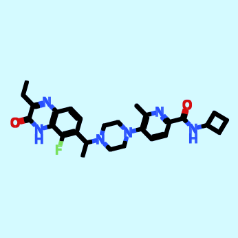 CCc1nc2ccc(C(C)N3CCN(c4ccc(C(=O)NC5CCC5)nc4C)CC3)c(F)c2[nH]c1=O